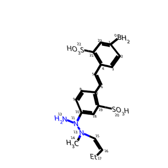 Bc1ccc(/C=C/c2ccc(N(N)N(C)/C=C\CC)cc2S(=O)(=O)O)c(S(=O)(=O)O)c1